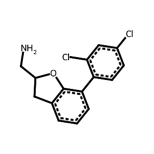 NCC1Cc2cccc(-c3ccc(Cl)cc3Cl)c2O1